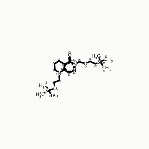 CC(C)(C)[Si](C)(C)OCCN1CCCc2c1cnn(COCC[Si](C)(C)C)c2=O